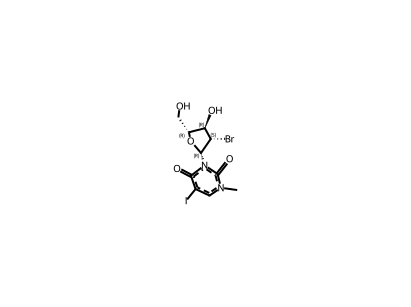 Cn1cc(I)c(=O)n([C@@H]2O[C@H](CO)[C@@H](O)[C@@H]2Br)c1=O